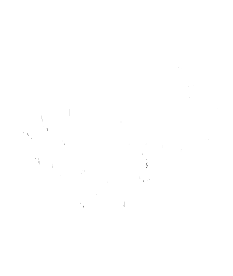 FC(F)(F)c1[nH]nnc1-c1ccnc(-c2cn(C[C@H]3CCCCc4c(C5CC5)cccc43)cn2)c1